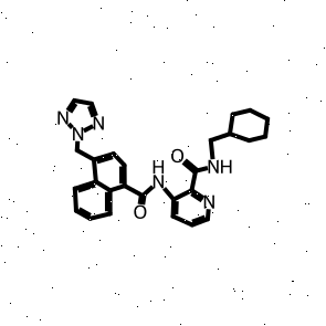 O=C(NCC1CCCCC1)c1ncccc1NC(=O)c1ccc(Cn2nccn2)c2ccccc12